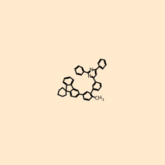 Cc1ccc(-c2ccc3c(c2)-c2ccccc2C32CCCCC2)cc1-c1cccc(-c2cc(-c3ccccc3)nc(-c3ccccc3)n2)c1